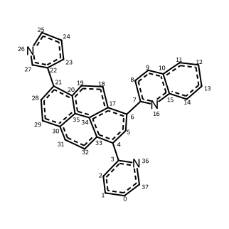 c1ccc(-c2cc(-c3ccc4ccccc4n3)c3ccc4c(-c5cccnc5)ccc5ccc2c3c54)nc1